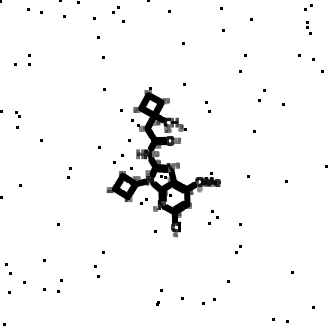 COc1cc(Cl)nc2c1nc(NC(=O)CC1(C)CCC1)n2C1CCC1